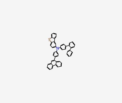 c1ccc(-c2ccccc2-c2ccc(N(c3ccc(-c4cc5ccccc5c5ccccc45)cc3)c3ccc4sc5ccccc5c4c3)cc2)cc1